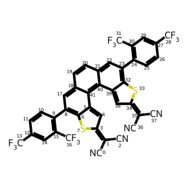 N#CC(C#N)=c1cc2c(s1)c(-c1ccc(C(F)(F)F)cc1C(F)(F)F)cc1ccc3cc(-c4ccc(C(F)(F)F)cc4C(F)(F)F)c4sc(=C(C#N)C#N)cc4c3c12